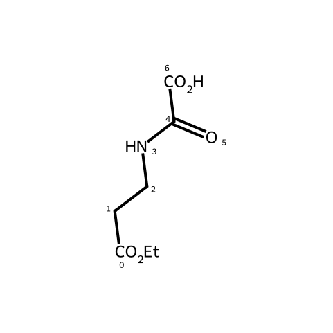 CCOC(=O)CCNC(=O)C(=O)O